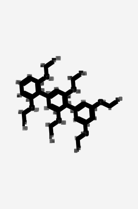 FCOc1cc(OCF)cc(-c2c(OCF)cc(-c3c(OCF)c[c]cc3OCF)cc2OCF)c1